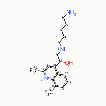 NCCCCCNCC(O)c1cc(C(F)(F)F)nc2c(C(F)(F)F)cccc12